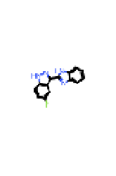 Fc1ccc2[nH]nc(-c3nc4ccccc4[nH]3)c2c1